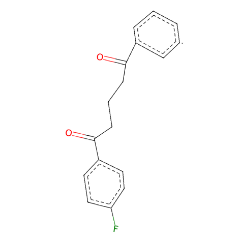 O=C(CCCC(=O)c1ccc(F)cc1)c1c[c]ccc1